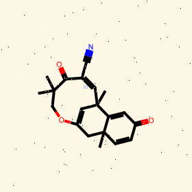 CC12C=C(CC3(C)C=CC(=O)C=C13)OCC(C)(C)C(=O)/C(C#N)=C\2